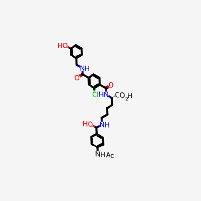 CC(=O)Nc1ccc(C(O)NCCCC[C@H](NC(=O)c2ccc(C(=O)NCc3cccc(O)c3)cc2Cl)C(=O)O)cc1